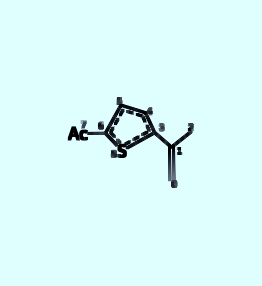 C=C(C)c1ccc(C(C)=O)s1